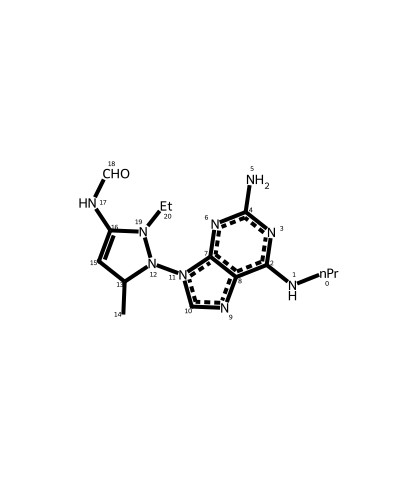 CCCNc1nc(N)nc2c1ncn2N1C(C)C=C(NC=O)N1CC